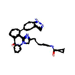 NC(=O)c1cccc(-c2ccc3[nH]ncc3c2)c1-c1nc(CCCCNC(=O)C2CC2)cn1-c1ccccc1